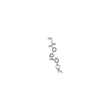 CN1CCN(c2ccnc(Nc3ncc(-c4cccc(C(=O)NCCO)c4)s3)c2)CC1